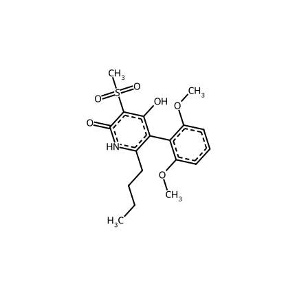 CCCCc1[nH]c(=O)c(S(C)(=O)=O)c(O)c1-c1c(OC)cccc1OC